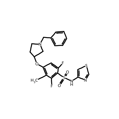 Cc1c(OC2CCN(Cc3ccccc3)C2)cc(F)c(S(=O)(=O)Nc2cscn2)c1F